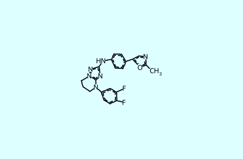 Cc1ncc(-c2ccc(Nc3nc4n(n3)CCCN4c3ccc(F)c(F)c3)cc2)o1